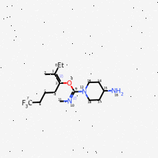 CC/C(C)=C(/CCCC(F)(F)F)O/C(=N\C)N1CCC(N)CC1